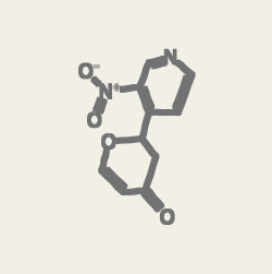 O=C1C=COC(c2ccncc2[N+](=O)[O-])C1